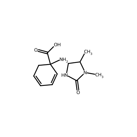 CC1CNC(=O)N1C.NC1(C(=O)O)C=CC=CC1